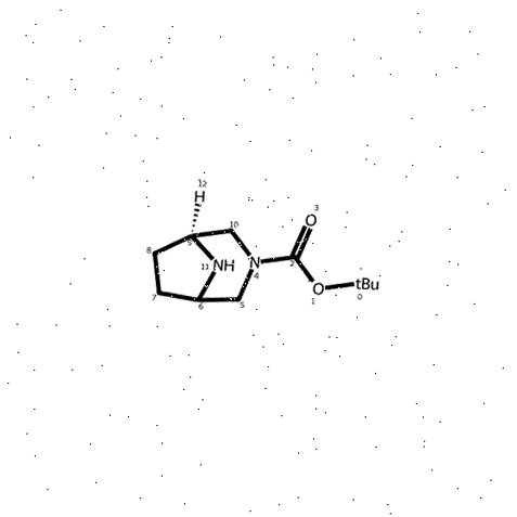 CC(C)(C)OC(=O)N1CC2CC[C@@H](C1)N2